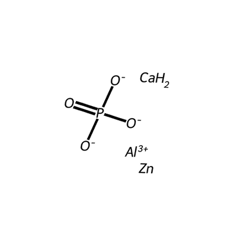 O=P([O-])([O-])[O-].[Al+3].[CaH2].[Zn]